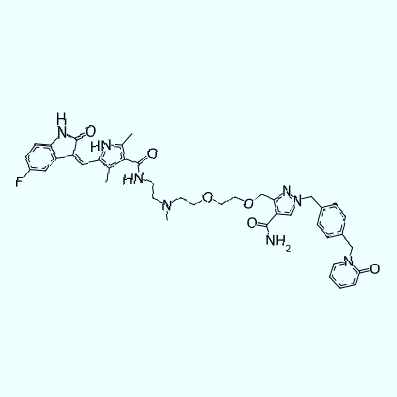 Cc1[nH]c(C=C2C(=O)Nc3ccc(F)cc32)c(C)c1C(=O)NCCN(C)CCOCCOCc1nn(Cc2ccc(Cn3ccccc3=O)cc2)cc1C(N)=O